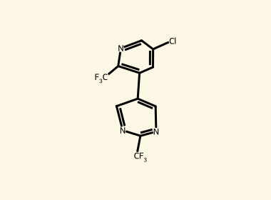 FC(F)(F)c1ncc(-c2cc(Cl)cnc2C(F)(F)F)cn1